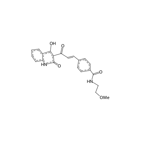 COCCNC(=O)c1ccc(C=CC(=O)c2c(O)c3ccccc3[nH]c2=O)cc1